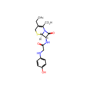 CC(=O)OCC1=C(C(=O)O)N2C(=O)[C@@H](NC(=O)CNc3ccc(O)cc3)[C@H]2SC1